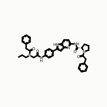 CCCN(CC(=O)Nc1ccc(-c2cc3nc(NC(=O)[C@@H]4CCCN4C(=O)Cc4ccccc4)ccc3[nH]2)cc1)C(=O)Cc1ccccc1